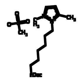 CCCCCCCCCCCCCCCC[n+]1c(C)ccn1C.CS(=O)(=O)[O-]